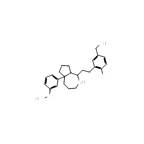 CCc1ccc(Br)c(CCC2NCCCC3(c4cccc(OC)c4)CCCC23)c1